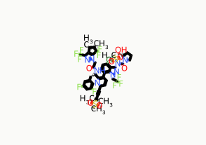 C[C@@H]1c2c(C(F)(F)F)nn(CC(=O)N[C@@H](Cc3cc(F)cc(F)c3)c3nc(C#CC(C)(C)S(C)(=O)=O)ccc3-c3ccc(Cl)c4c(N(C(=O)N5CCC[C@H]5CO)S(C)(=O)=O)nn(CC(F)(F)F)c34)c2C(F)(F)[C@@H]1C